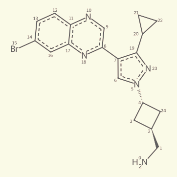 NC[C@H]1C[C@H](n2cc(-c3cnc4ccc(Br)cc4n3)c(C3CC3)n2)C1